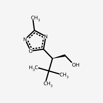 Cc1noc([C@@H](CO)C(C)(C)C)n1